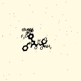 Cc1c(C(=O)NCC2(C(N)=O)CCOCC2)cc(-c2ccc(S(=O)(=O)NC(C)(C)C)c(C(F)(F)F)c2)n1CC1CCCCC1